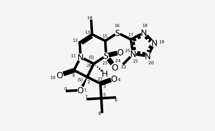 CO[C@@]1(C(=O)C(C)(C)C)C(=O)N2C=C(C)C(Sc3nnnn3C)S(=O)(=O)[C@H]21